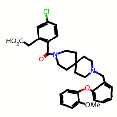 COc1ccccc1Oc1ccccc1CN1CCC2(CC1)CCN(C(=O)c1ccc(Cl)cc1CC(=O)O)CC2